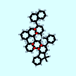 CC1(C)c2ccccc2-c2ccc(-c3ccccc3N(c3ccc(-c4cccc5ccccc45)cc3)c3ccccc3-c3cccc4cccc(-c5ccccc5)c34)cc21